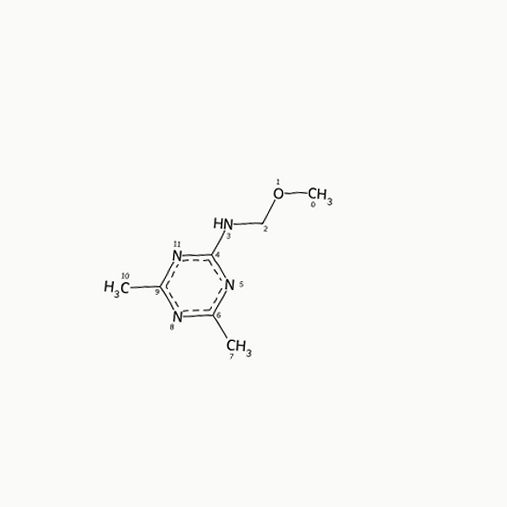 COCNc1nc(C)nc(C)n1